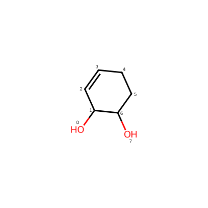 OC1C=CCCC1O